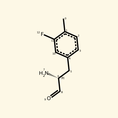 Cc1ccc(C[C@@H](N)C=O)cc1F